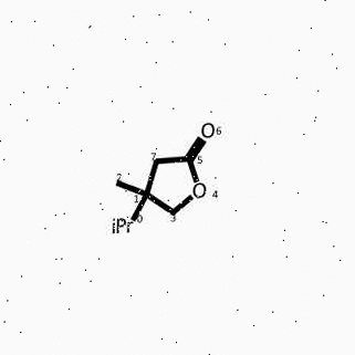 CC(C)C1(C)COC(=O)C1